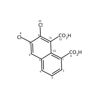 O=C(O)c1cccc2cc(Cl)c(Cl)c(C(=O)O)c12